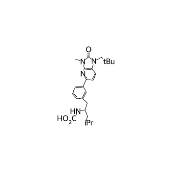 CC(C)CC(Cc1cccc(-c2ccc3c(n2)n(C)c(=O)n3CC(C)(C)C)c1)NC(=O)O